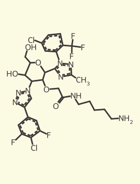 Cc1nc(C2OC(CO)C(O)C(n3cc(-c4cc(F)c(Cl)c(F)c4)nn3)C2OCC(=O)NCCCCCN)n(-c2cc(Cl)ccc2C(F)(F)F)n1